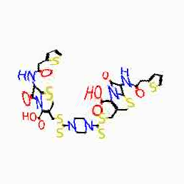 O=C(Cc1cccs1)NC1C(=O)N2C(C(=O)O)=C(CSC(=S)N3CCN(C(=S)SCC4=C(C(=O)O)N5C(=O)C(NC(=O)Cc6cccs6)C5SC4)CC3)CSC12